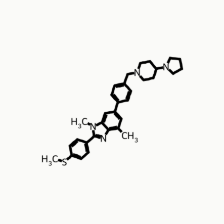 CSc1ccc(-c2nc3c(C)cc(-c4ccc(CN5CCC(N6CCCC6)CC5)cc4)cc3n2C)cc1